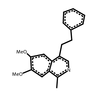 COc1cc2c(CCc3ccccc3)cnc(C)c2cc1OC